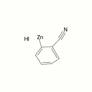 I.N#Cc1cccc[c]1[Zn]